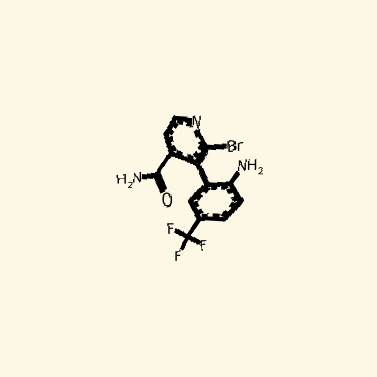 NC(=O)c1ccnc(Br)c1-c1cc(C(F)(F)F)ccc1N